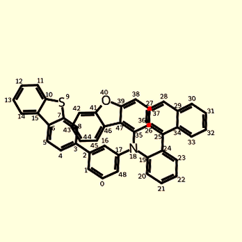 c1cc(-c2ccc3c(c2)sc2ccccc23)cc(N(c2ccccc2-c2cccc3ccccc23)c2cccc3oc4ccccc4c23)c1